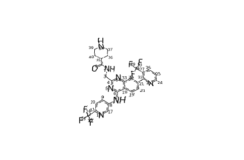 O=C(NCc1nc(Nc2ccc(C(F)(F)F)nc2)c2ccc(-c3ncccc3C(F)(F)F)cc2n1)C1CCNCC1